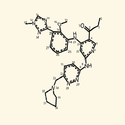 CCC(=O)c1cnc(Nc2ccc(CN3CCCC3)nn2)cc1Nc1cccc(-c2ncn(C)n2)c1OC